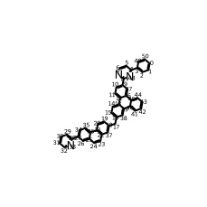 c1ccc(-c2ccnc(-c3ccc4c5ccc(Cc6ccc7c(ccc8cc(-c9ccccn9)ccc87)c6)cc5c5ccccc5c4c3)n2)cc1